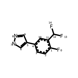 Fc1ccc(C2=C[N]N=C2)cc1C(F)F